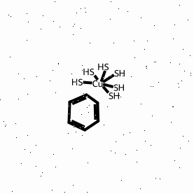 [SH][Cu]([SH])([SH])([SH])([SH])[SH].c1ccccc1